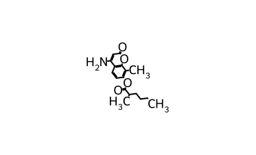 CCCCC(C)C(=O)Oc1ccc2c(N)cc(=O)oc2c1C